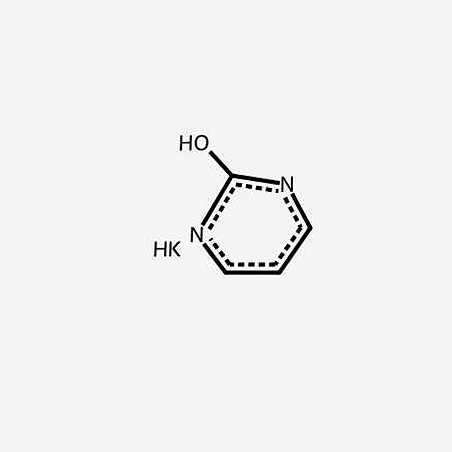 Oc1ncccn1.[KH]